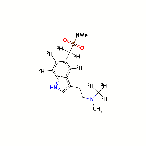 [2H]c1c(C([2H])([2H])S(=O)(=O)NC)c([2H])c2c(CCN(C)C([2H])([2H])[2H])c[nH]c2c1[2H]